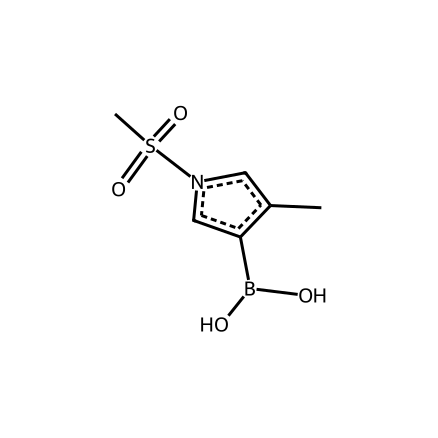 Cc1cn(S(C)(=O)=O)cc1B(O)O